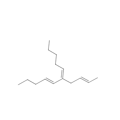 CC=CCC(C=CCCC)=CCCCC